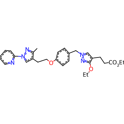 CCOC(=O)CCc1cn(Cc2ccc(OCCc3cn(-c4ccccn4)nc3C)cc2)nc1OCC